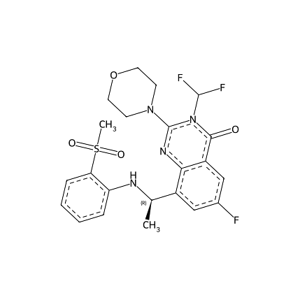 C[C@@H](Nc1ccccc1S(C)(=O)=O)c1cc(F)cc2c(=O)n(C(F)F)c(N3CCOCC3)nc12